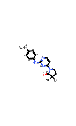 CCC1(C#N)CCN(c2ccnc(Nc3ccc(NC(C)=O)cc3)n2)C1=O